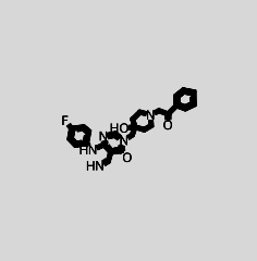 N=Cc1c(Nc2ccc(F)cc2)ncn(CC2(O)CCN(CC(=O)c3ccccc3)CC2)c1=O